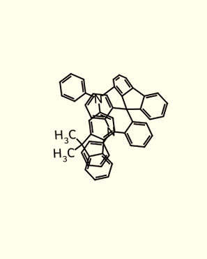 CC1(C)c2ccccc2-c2ccc(N(c3ccccc3)c3cccc4c3C3(c5ccccc5-4)c4ccccc4N(c4ccccc4)c4ccccc43)cc21